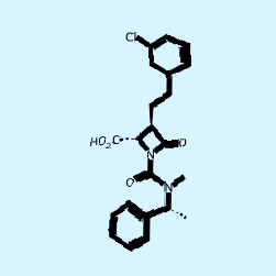 C[C@H](c1ccccc1)N(C)C(=O)N1C(=O)[C@H](CCC2C=CC=C(Cl)C2)[C@H]1C(=O)O